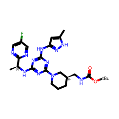 Cc1cc(Nc2nc(N[C@@H](C)c3ncc(F)cn3)nc(N3CCC[C@H](CNC(=O)OC(C)(C)C)C3)n2)n[nH]1